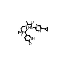 CC(C(=O)Nc1cnc(C2CC2)cn1)N1CCC(F)(F)C(c2ccc(=O)[nH]c2)C1